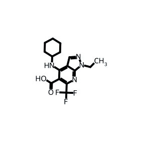 CCn1ncc2c(NC3CCCCC3)c(C(=O)O)c(C(F)(F)F)nc21